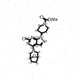 COC(=O)N1CCC(n2ncc3c(N4CC5CCC(C4)O5)nc(Cl)nc32)CC1